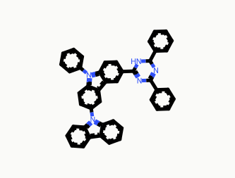 c1ccc(C2=NC(c3ccccc3)NC(c3ccc4c(c3)c3cc(-n5c6ccccc6c6ccccc65)ccc3n4-c3ccccc3)=N2)cc1